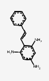 Nc1cc(N)c(C=Cc2ccccc2)c(N)c1